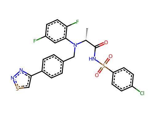 C[C@H](C(=O)NS(=O)(=O)c1ccc(Cl)cc1)N(Cc1ccc(-c2csnn2)cc1)c1cc(F)ccc1F